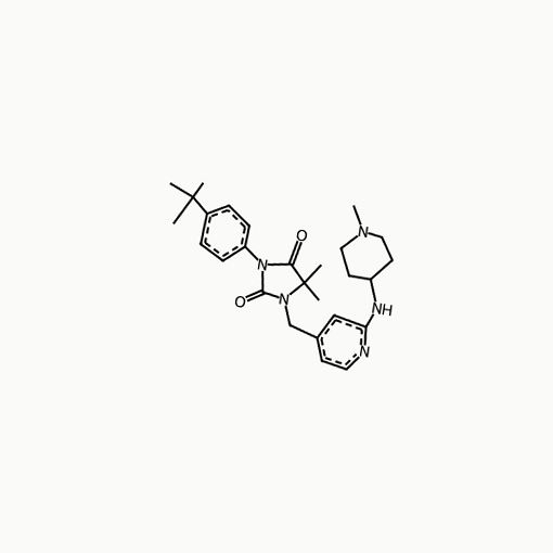 CN1CCC(Nc2cc(CN3C(=O)N(c4ccc(C(C)(C)C)cc4)C(=O)C3(C)C)ccn2)CC1